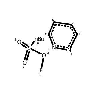 CCCCS(=O)(=O)OF.c1ccnnc1